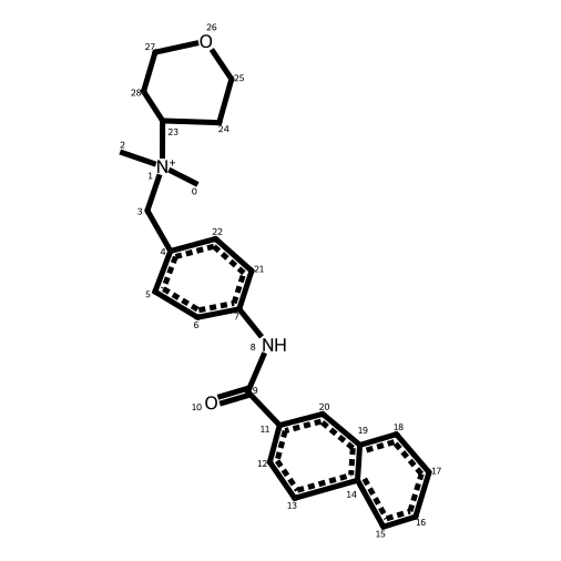 C[N+](C)(Cc1ccc(NC(=O)c2ccc3ccccc3c2)cc1)C1CCOCC1